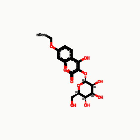 CCCCCCCCCCCOc1ccc2c(O)c(O[C@H]3O[C@H](CO)[C@@H](O)[C@H](O)[C@@H]3O)c(=O)oc2c1